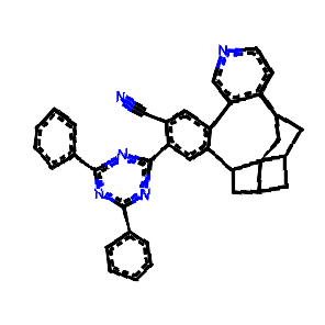 N#Cc1cc2c(cc1-c1nc(-c3ccccc3)nc(-c3ccccc3)n1)C1CC3CC4CC(C[C@@]431)c1ccncc1-2